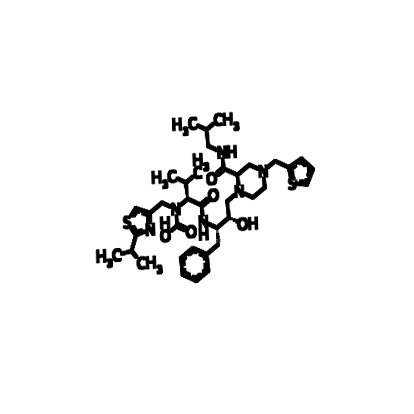 CC(C)CNC(=O)C1CN(Cc2cccs2)CCN1C[C@H](O)[C@H](Cc1ccccc1)NC(=O)[C@H](C(C)C)N(Cc1csc(C(C)C)n1)C(=O)O